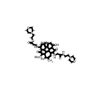 COc1c2c3c4c(c(NCC(=O)NCCN5CCOCC5)c(=O)c5c(O)cc(OC)c(c6c(OC)cc(NCCC(=O)OCCN7CCOCC7)c(c1=O)c63)c54)C=C(C)C2C(C)=O